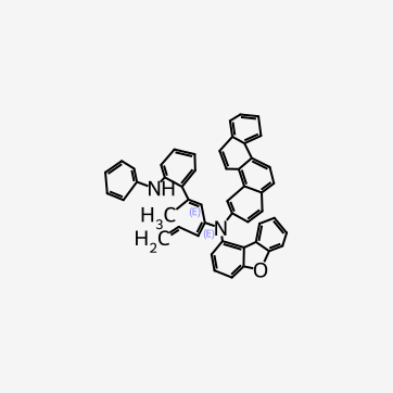 C=C/C=C(\C=C(/C)c1ccccc1Nc1ccccc1)N(c1ccc2ccc3c4ccccc4ccc3c2c1)c1cccc2oc3ccccc3c12